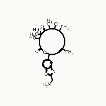 C/C1=C/CC(c2ccc3oc(CN)nc3c2)OC(=O)CC(O)C(C)(C)C(=O)C(C)C(O)C(C)CCC1